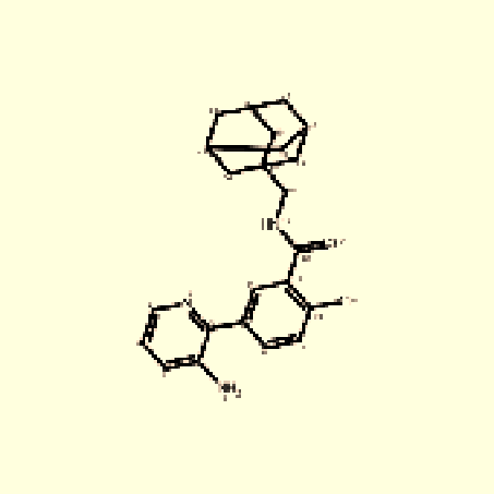 Nc1cccnc1-c1ccc(Cl)c(C(=O)NCC23CC4CC(CC(C4)C2)C3)c1